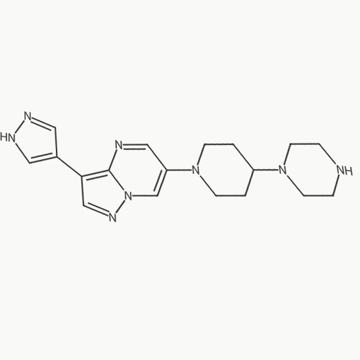 c1n[nH]cc1-c1cnn2cc(N3CCC(N4CCNCC4)CC3)cnc12